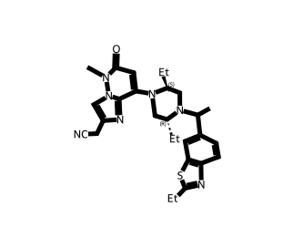 CCc1nc2ccc(C(C)N3C[C@H](CC)N(c4cc(=O)n(C)n5cc(CC#N)nc45)C[C@H]3CC)cc2s1